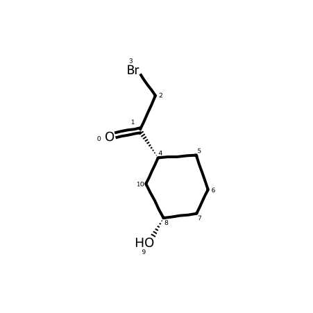 O=C(CBr)[C@@H]1CCC[C@H](O)C1